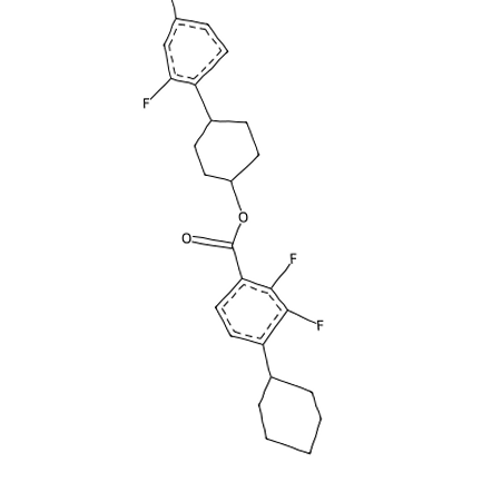 Cc1ccc(C2CCC(OC(=O)c3ccc(C4CCCCC4)c(F)c3F)CC2)c(F)c1